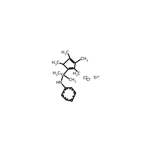 CC1=C(C)C(C)C([Si](C)(C)Nc2ccccc2)=C1C.[Cl-].[Cl-].[Ti+2]